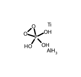 OP1(O)(O)OO1.[AlH3].[Ti]